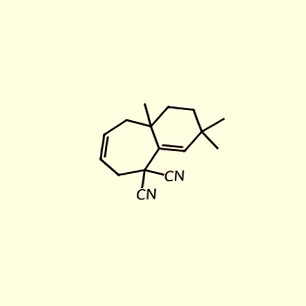 CC1(C)C=C2C(C#N)(C#N)CC=CCC2(C)CC1